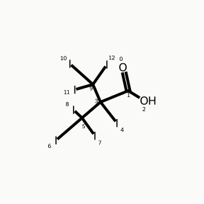 O=C(O)C(I)(C(I)(I)I)C(I)(I)I